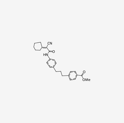 COC(=O)c1ccc(CCCc2ccc(NC(=O)C(C#N)=C3CCCCC3)cc2)cc1